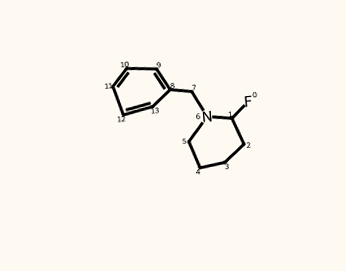 FC1CCCCN1Cc1ccccc1